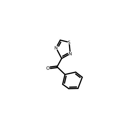 O=C(c1ccccc1)c1ncsn1